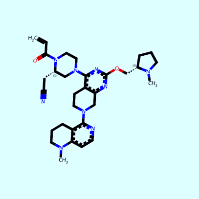 C=CC(=O)N1CCN(c2nc(OC[C@@H]3CCCN3C)nc3c2CCN(c2nccc4c2CCCN4C)C3)C[C@@H]1CC#N